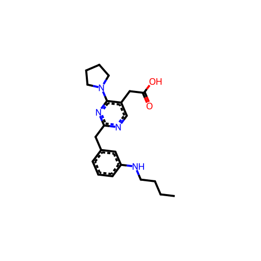 CCCCNc1cccc(Cc2ncc(CC(=O)O)c(N3CCCC3)n2)c1